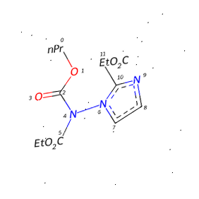 CCCOC(=O)N(C(=O)OCC)n1ccnc1C(=O)OCC